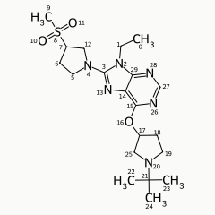 CCn1c(N2CCC(S(C)(=O)=O)C2)nc2c(OC3CCN(C(C)(C)C)C3)ncnc21